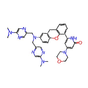 CN(C)c1cnc(CN(Cc2cnc(N(C)C)cn2)c2ccc3c(c2)Cc2cccc(-c4cc(N5CCOCC5)cc(=O)[nH]4)c2O3)cn1